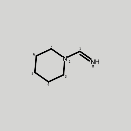 N=CN1CC[CH]CC1